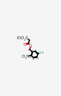 CCOC(=O)CC(=O)OCc1cc(F)ccc1[N+](=O)[O-]